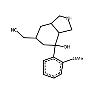 COc1ccccc1C1(O)CC(CC#N)CC2CNCC21